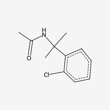 CC(=O)NC(C)(C)c1ccccc1Cl